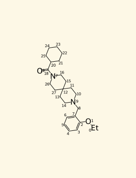 CCOc1ccccc1CN1CCC2(CC1)CCN(C(=O)C1CCCCC1)CC2